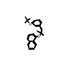 CC(C)(C)Oc1cccc(CC(C)(C)Oc2cccc3ccccc23)c1